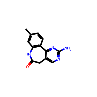 Cc1ccc2c(c1)NC(=O)Cc1cnc(N)nc1-2